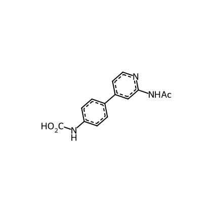 CC(=O)Nc1cc(-c2ccc(NC(=O)O)cc2)ccn1